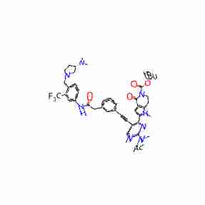 CC(=O)N(C)c1ncc(C#Cc2cccc(CC(=O)Nc3ccc(CN4CC[C@H](N(C)C)C4)c(C(F)(F)F)c3)c2)c(-c2cc3c(n2C)CCN(C(=O)OC(C)(C)C)C3=O)n1